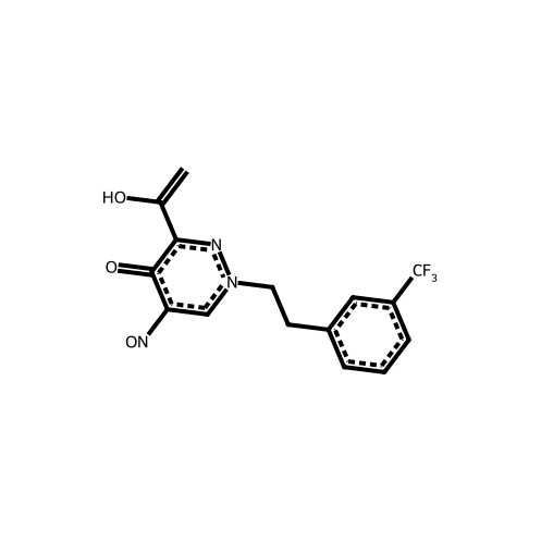 C=C(O)c1nn(CCc2cccc(C(F)(F)F)c2)cc(N=O)c1=O